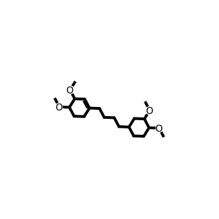 COC1C=C(CCCCC2CCC(OC)C(OC)C2)CCC1OC